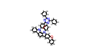 c1ccc(-c2nc(-c3ccccc3)nc(-c3ccc(-n4c5ccccc5c5ccc6c7cc8c(cc7n(-c7ccccc7)c6c54)oc4ccccc48)cc3)n2)cc1